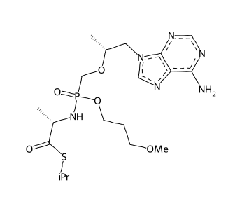 COCCCOP(=O)(CO[C@H](C)Cn1cnc2c(N)ncnc21)N[C@@H](C)C(=O)SC(C)C